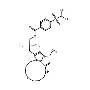 CCn1nc(CC(C)(C)COC(=O)c2ccc(S(=O)(=O)C(C)C)cc2)c2c1C(=O)NCCCOCCC2